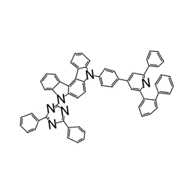 c1ccc(-c2cc(-c3ccc(-n4c5ccccc5c5c6c7ccccc7n(-c7nc(-c8ccccc8)nc(-c8ccccc8)n7)c6ccc54)cc3)cc(-c3ccccc3-c3ccccc3)n2)cc1